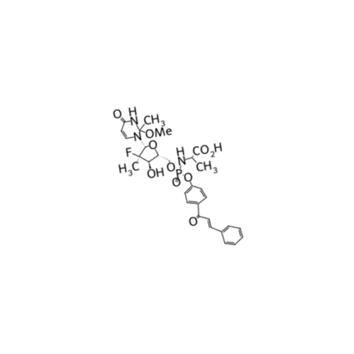 COC1(C)NC(=O)C=CN1[C@@H]1O[C@H](COP(=O)(N[C@@H](C)C(=O)O)Oc2ccc(C(=O)/C=C/c3ccccc3)cc2)[C@@H](O)[C@@]1(C)F